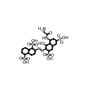 NCC(=O)Nc1cc(S(=O)(=O)O)cc2cc(S(=O)(=O)O)c(N=Nc3ccc4c(S(=O)(=O)O)cccc4c3S(=O)(=O)O)c(O)c12